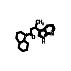 CC(CC(=O)N1CCCC2CCCCC21)c1c[nH]c2ncccc12